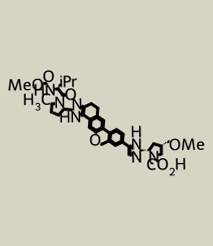 COC[C@H]1C[C@@H](c2ncc(-c3ccc4c(c3)COc3cc5c(cc3-4)CCc3nc(C4CCC(C)N4C(=O)[C@@H](NC(=O)OC)C(C)C)[nH]c3-5)[nH]2)N(C(=O)O)C1